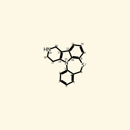 c1ccc2c(c1)CSc1cccc3c4c(n-2c13)CCNC4